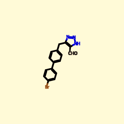 O=Cc1[nH]nnc1Cc1ccc(-c2ccc(Br)cc2)cc1